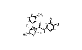 Cc1cc([C@H]2[C@H]3O[C@H](C[C@H]3O)[C@@H]2C(=O)Nc2ccc(Cl)c(Cl)c2)ccn1